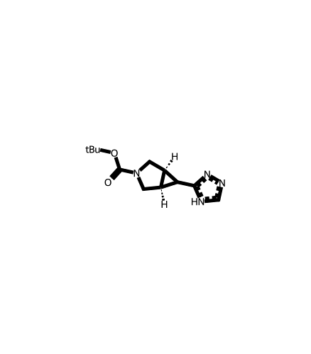 CC(C)(C)OC(=O)N1C[C@@H]2C(c3nnc[nH]3)[C@@H]2C1